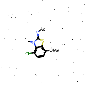 COc1ccc(Cl)c2c1sc(=NC(C)=O)n2C